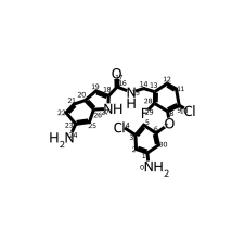 Nc1cc(Cl)cc(Oc2c(Cl)ccc(CNC(=O)c3cc4ccc(N)cc4[nH]3)c2F)c1